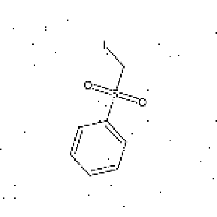 O=S(=O)(CI)c1ccccc1